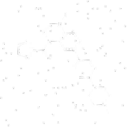 C=C(/C=C\C(=C)N1CCN(C)CC1)c1ccc2c(c1)N(C(=O)c1ccco1)C[C@H](C)N2C(C)=O